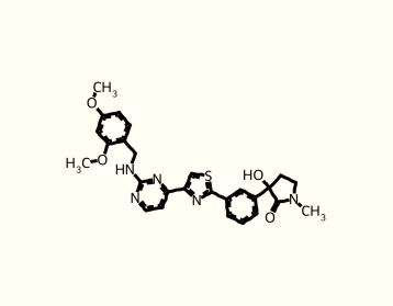 COc1ccc(CNc2nccc(-c3csc(-c4cccc(C5(O)CCN(C)C5=O)c4)n3)n2)c(OC)c1